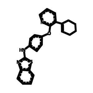 C1=C(c2cccnc2Oc2ccc(Nc3nc4ccccc4s3)cc2)CCCC1